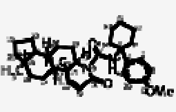 COc1ccc(C2(NC(=O)N3C(=O)C=C[C@]4(C)[C@H]5CC[C@]6(C)CCC[C@H]6[C@@H]5CC[C@@H]34)CCCCC2)cc1